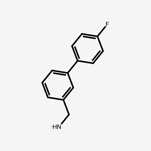 [NH]Cc1cccc(-c2ccc(F)cc2)c1